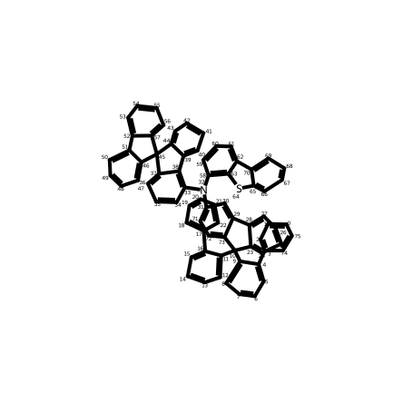 c1ccc(-c2ccccc2C2(c3ccccc3-c3ccccc3)c3ccccc3-c3cc(N(c4cccc5c4-c4ccccc4C54c5ccccc5-c5ccccc54)c4cccc5c4sc4ccccc45)ccc32)cc1